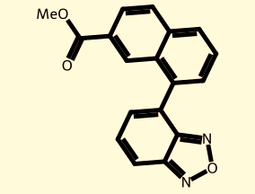 COC(=O)c1ccc2cccc(-c3cccc4nonc34)c2c1